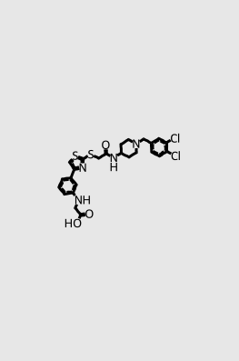 O=C(O)CNc1cccc(-c2csc(SCC(=O)NC3CCN(Cc4ccc(Cl)c(Cl)c4)CC3)n2)c1